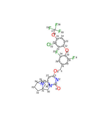 O=c1nc(OCc2cc(F)c(Oc3ccc(OC(F)(F)F)c(Cl)c3)c(F)c2)cc2n1CC13CCC(CC1)N23